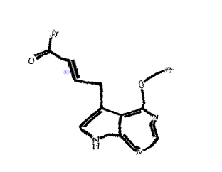 CC(C)Oc1ncnc2[nH]cc(C/C=C/C(=O)C(C)C)c12